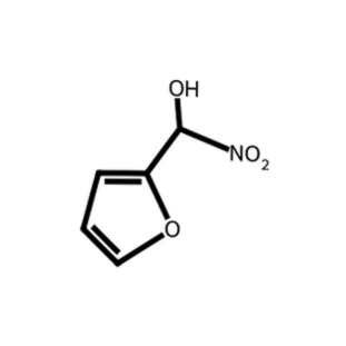 O=[N+]([O-])C(O)c1ccco1